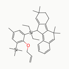 C=CCOc1c([Si](C)(C)C)cc(C)cc1[Si](CC)(CC)C1C2=CC(C)(C)CCC2=C2C1=c1ccccc1=CC2(C)C